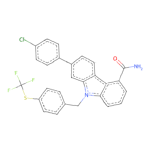 NC(=O)c1cccc2c1c1[c]cc(-c3ccc(Cl)cc3)cc1n2Cc1ccc(SC(F)(F)F)cc1